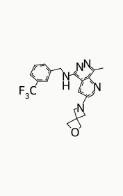 Cc1nnc(NCc2cccc(C(F)(F)F)c2)c2cc(N3CC4(COC4)C3)cnc12